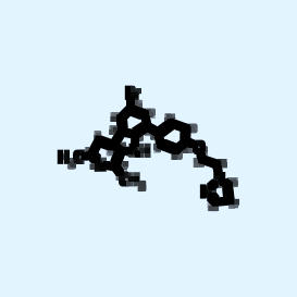 Cc1cc2c([nH]c3c(-c4ccc(OCCn5cccn5)cc4)cc(Br)cc32)c(C)n1